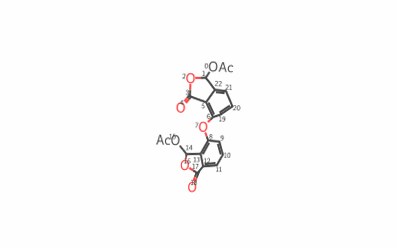 CC(=O)OC1OC(=O)c2c(Oc3cccc4c3C(OC(C)=O)OC4=O)cccc21